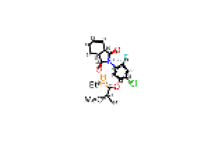 CCPC(Oc1cc(N2C(=O)C3C=CCCC3C2=O)c(F)cc1Cl)C(C)OC